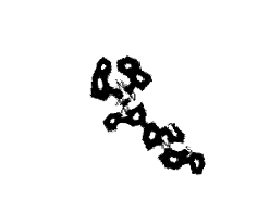 c1ccc2c(-c3nc(-c4cccc5ccccc45)nc(-n4c5ccccc5c5cc(-c6ccc7c(c6)c6ccccc6n7-c6cccc7c6sc6ccccc67)ccc54)n3)cccc2c1